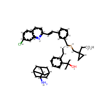 CC(C)(O)c1ccccc1CC[C@@H](SCC1(CC(=O)O)CC1)c1cccc(/C=C/c2ccc3ccc(Cl)cc3n2)c1.NC12CC3CC(CC(C3)C1)C2